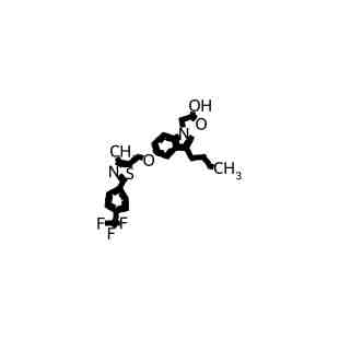 CCCCc1cn(CC(=O)O)c2ccc(OCc3sc(-c4ccc(C(F)(F)F)cc4)nc3C)cc12